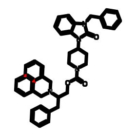 O=C(OCC(Cc1ccccc1)N(Cc1ccccc1)Cc1ccccc1)N1CCC(n2c(=O)n(Cc3ccccc3)c3ccccc32)CC1